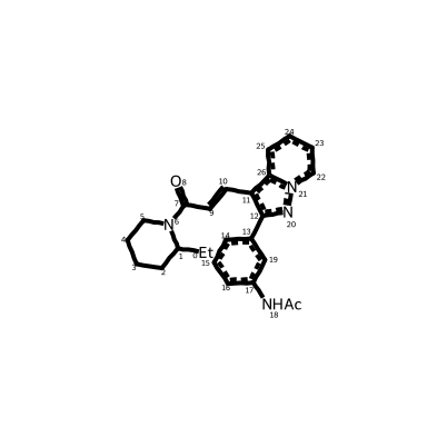 CCC1CCCCN1C(=O)C=Cc1c(-c2cccc(NC(C)=O)c2)nn2ccccc12